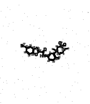 CN1C=NC(C)(c2cc(NC(=O)c3nc4cc(Br)ccc4o3)ccc2F)CS1(=O)=O